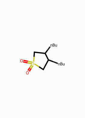 CCCCC1CS(=O)(=O)CC1CCCC